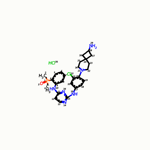 CP(C)(=O)c1ccccc1Nc1ccnc(Nc2ccc(N3CCC4(CC3)CC(N)C4)c(Cl)c2)n1.Cl